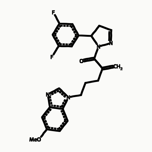 C=C(CCCn1cnc2cc(OC)ccc21)C(=O)N1N=CCC1c1cc(F)cc(F)c1